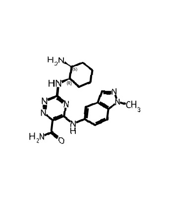 Cn1ncc2cc(Nc3nc(N[C@@H]4CCCC[C@@H]4N)nnc3C(N)=O)ccc21